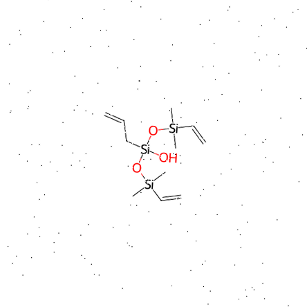 C=CC[Si](O)(O[Si](C)(C)C=C)O[Si](C)(C)C=C